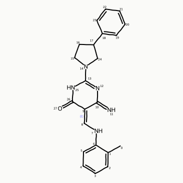 Cc1ccccc1N/C=C1\C(=N)N=C(N2CCC(c3ccccc3)C2)NC1=O